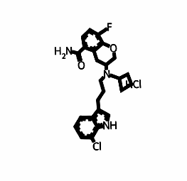 Cl.NC(=O)c1ccc(F)c2c1CC(N(CCCc1c[nH]c3c(Cl)cccc13)C1CCC1)CO2